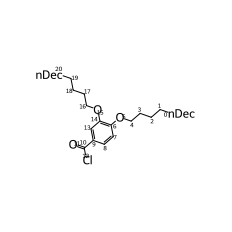 CCCCCCCCCCCCCCOc1ccc(C(=O)Cl)cc1OCCCCCCCCCCCCCC